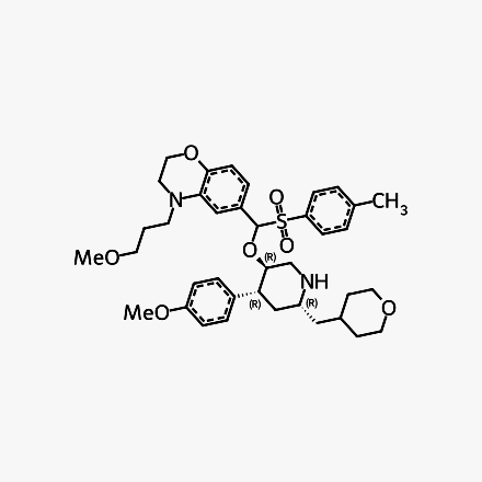 COCCCN1CCOc2ccc(C(O[C@H]3CN[C@H](CC4CCOCC4)C[C@@H]3c3ccc(OC)cc3)S(=O)(=O)c3ccc(C)cc3)cc21